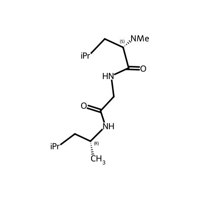 CN[C@@H](CC(C)C)C(=O)NCC(=O)N[C@H](C)CC(C)C